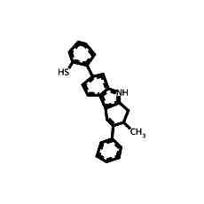 CC1Cc2[nH]c3cc(-c4ccccc4S)ccc3c2C=C1c1ccccc1